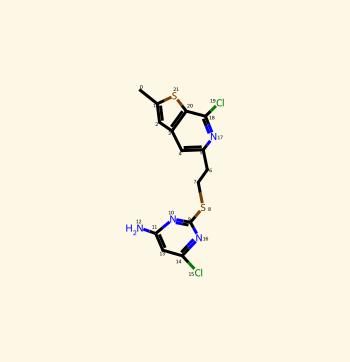 Cc1cc2cc(CCSc3nc(N)cc(Cl)n3)nc(Cl)c2s1